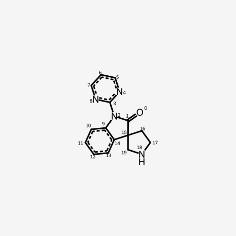 O=C1N(c2ncccn2)c2ccccc2C12CCNC2